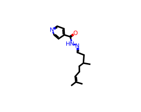 CC(C)=CCCC(C)CC=NNC(=O)c1ccncc1